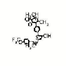 Cc1[nH]c(C)c(-c2ccc(-c3ccc(CN(C)Cc4ccc(OC(F)(F)F)cc4)s3)cc2)c(=O)c1Cl.Cl